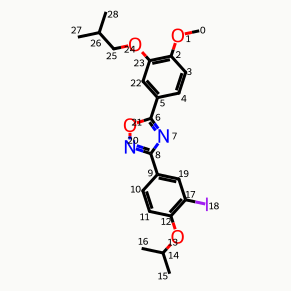 COc1ccc(-c2nc(-c3ccc(OC(C)C)c(I)c3)no2)cc1OCC(C)C